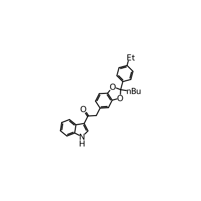 CCCCC1(c2ccc(CC)cc2)Oc2ccc(CC(=O)c3c[nH]c4ccccc34)cc2O1